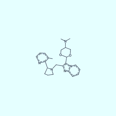 Cc1cccnc1C1CCCN1Cc1nc2ccccn2c1C1OCC(N(C)C)CO1